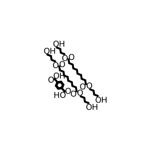 O=C(CCCCCCCCC(=O)OCCCCO)OCCCCO.O=C(CCCCCCCCC(=O)OCCCCO)OCCCCO.O=C(O)c1ccc(C(=O)O)cc1